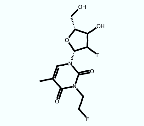 Cc1cn([C@@H]2O[C@H](CO)C(O)C2F)c(=O)n(CCF)c1=O